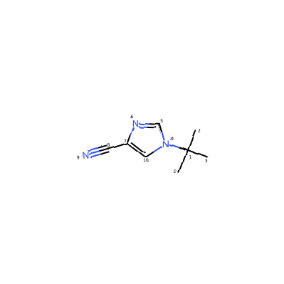 CC(C)(C)n1cnc(C#N)c1